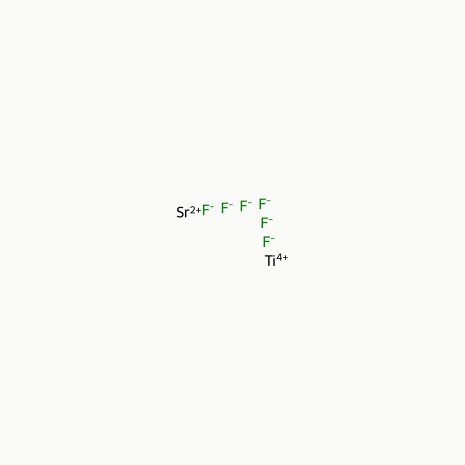 [F-].[F-].[F-].[F-].[F-].[F-].[Sr+2].[Ti+4]